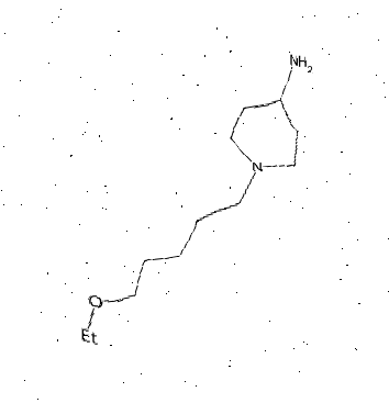 CCOCCCCCN1CCC(N)CC1